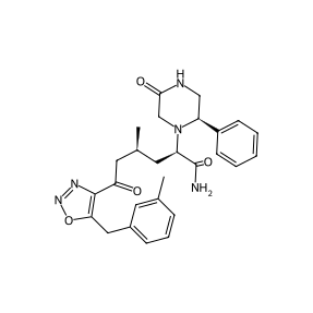 Cc1cccc(Cc2onnc2C(=O)C[C@@H](C)C[C@H](C(N)=O)N2CC(=O)NC[C@H]2c2ccccc2)c1